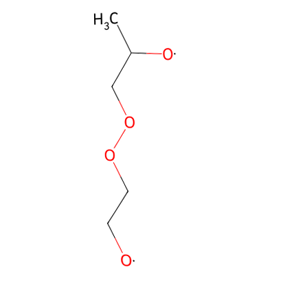 CC([O])COOCC[O]